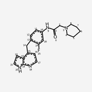 O=C(CN1CCCCC1)Nc1ccc(Cc2ccnc3[nH]ccc23)c(F)c1